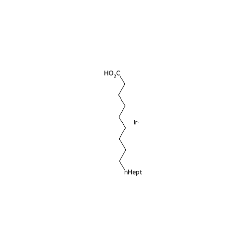 CCCCCCCCCCCCCCCC(=O)O.[Ir]